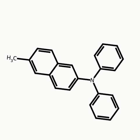 Cc1ccc2cc(N(c3ccccc3)c3ccccc3)ccc2c1